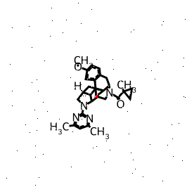 COc1ccc2c(c1)C13CCN(C(=O)C4(C)CC4)C(C2)C12CCC1C3[C@@H](CN1c1nc(C)cc(C)n1)C2